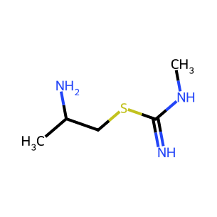 CNC(=N)SCC(C)N